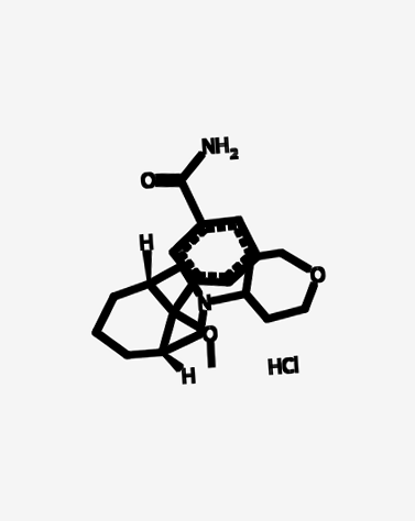 COC1(c2cccc(C(N)=O)c2)[C@@H]2CCC[C@H]1CN(C1CCOCC1)C2.Cl